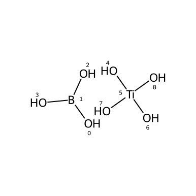 OB(O)O.[OH][Ti]([OH])([OH])[OH]